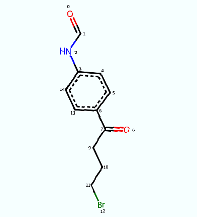 O=CNc1ccc(C(=O)CCCBr)cc1